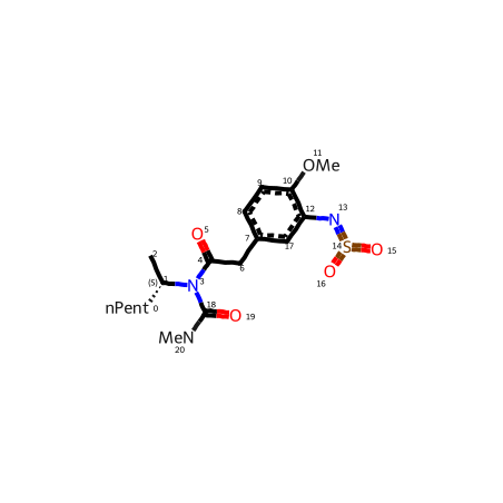 CCCCC[C@H](C)N(C(=O)Cc1ccc(OC)c(N=S(=O)=O)c1)C(=O)NC